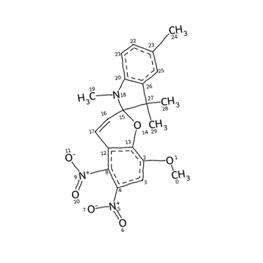 COc1cc([N+](=O)[O-])c([N+](=O)[O-])c2c1OC1(C=C2)N(C)c2ccc(C)cc2C1(C)C